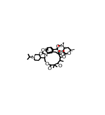 COC1(C)CC(C)CN(C(=O)O)C(C2CCN(C(C)C)CC2)COC(=O)C(C)(C)C(=O)C(C)C1O[C@@H]1O[C@H](C)C[C@H](N(C)C)[C@H]1OC(=O)c1ccccc1